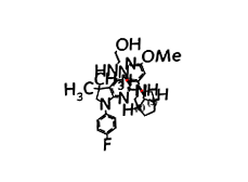 COc1cc(N2C[C@H]3CC[C@@H](C2)C3Nc2nc(NCCO)c3c(n2)N(c2ccc(F)cc2)CC3(C)C)cnn1